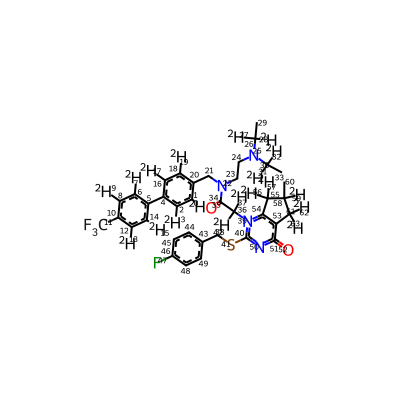 [2H]c1c([2H])c(-c2c([2H])c([2H])c(C(F)(F)F)c([2H])c2[2H])c([2H])c([2H])c1CN(CCN(C([2H])([2H])C)C([2H])([2H])C)C(=O)C([2H])([2H])n1c(SCc2ccc(F)cc2)nc(=O)c2c1C([2H])([2H])C([2H])(C)C2([2H])[2H]